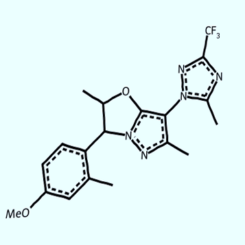 COc1ccc(C2C(C)Oc3c(-n4nc(C(F)(F)F)nc4C)c(C)nn32)c(C)c1